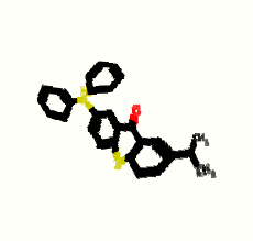 CC(C)c1ccc2sc3ccc([SH](c4ccccc4)c4ccccc4)cc3c(=O)c2c1